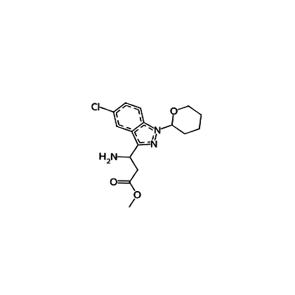 COC(=O)CC(N)c1nn(C2CCCCO2)c2ccc(Cl)cc12